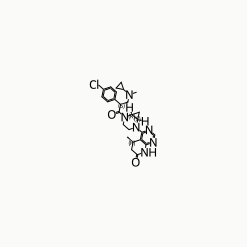 C[C@@H]1CC(=O)Nc2ncnc(N3CCN(C(=O)[C@H](CN(C)C4CC4)c4ccc(Cl)cc4)[C@@H]4C[C@@H]43)c21